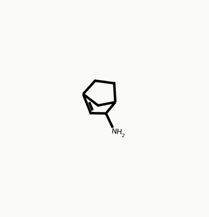 NC1C=C2CCC1C2